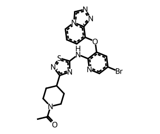 CC(=O)N1CCC(c2nsc(Nc3ncc(Br)cc3Oc3cccn4cnnc34)n2)CC1